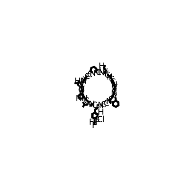 CC[C@H](C)[C@H]1CN(C)CCN(C)CCN(C)[C@@H](CC2CCCCC2)CN(C)CCN[C@@H](CCc2ccc(C(F)(F)F)c(Cl)c2)CN(C)[C@@H](CC(C)C)CNC2(CCCC2)CN(C)[C@@H](CC(C)C)CN[C@H](C)CCN2CCCC[C@H]2CN1